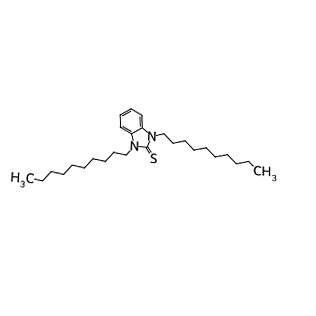 CCCCCCCCCCn1c(=S)n(CCCCCCCCCC)c2ccccc21